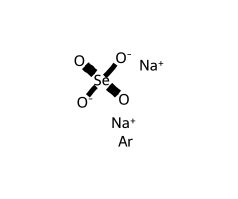 O=[Se](=O)([O-])[O-].[Ar].[Na+].[Na+]